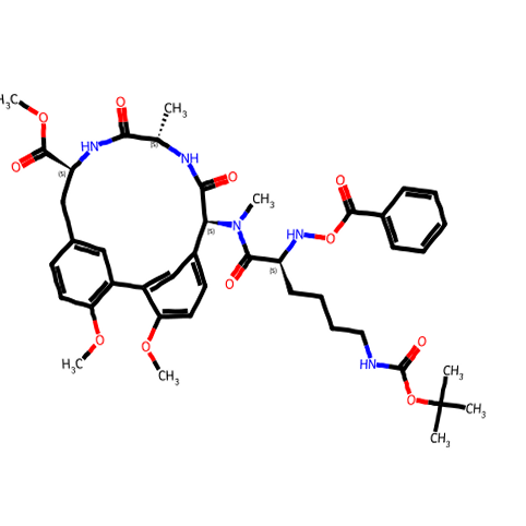 COC(=O)[C@@H]1Cc2ccc(OC)c(c2)-c2cc(ccc2OC)[C@H](N(C)C(=O)[C@H](CCCCNC(=O)OC(C)(C)C)NOC(=O)c2ccccc2)C(=O)N[C@@H](C)C(=O)N1